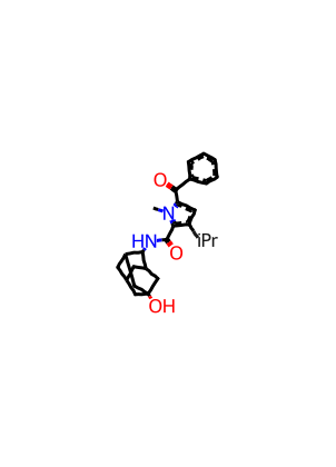 CC(C)c1cc(C(=O)c2ccccc2)n(C)c1C(=O)NC1C2CC3CC1CC(O)(C3)C2